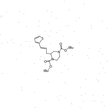 CC(C)(C)OC(=O)N1CCN(C(=O)OC(C)(C)C)C(C/C=C/c2cccs2)C1